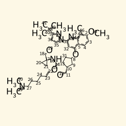 COc1ccc2c(O[C@H]3C[C@@H](C=O)[C@H](C(=O)N[C@]4(C=O)C[C@H]4/C=C\CCCCN(C)C)C3)cc(-n3ccc(C(C)(C)C)n3)nc2c1C